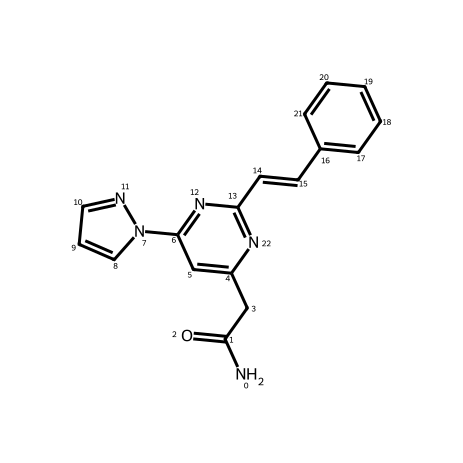 NC(=O)Cc1cc(-n2cccn2)nc(/C=C/c2ccccc2)n1